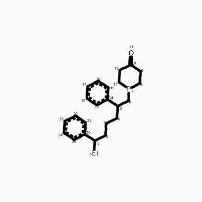 CCC(CCCC(CP1CCC(=O)CC1)c1ccccc1)c1ccccc1